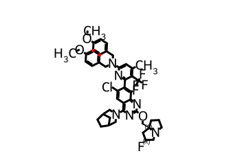 COc1ccc(CN(Cc2ccc(OC)cc2)c2cc(C)c(C(F)(F)F)c(-c3c(Cl)cc4c(N5CC6CCC(C6)C5)nc(OC[C@@]56CCCN5C[C@H](F)C6)nc4c3F)n2)cc1